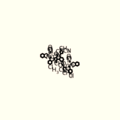 Cc1c(-n2c(=O)c3cc(-c4cc(Cl)ccc4C(=O)N4Cc5ccccc5C[C@H]4CN4CCOCC4)n(C)c3c3cc(OC(=O)c4cc(-c5cc(Cl)ccc5C(=O)N5Cc6ccccc6C[C@H]5CN5CCOCC5)n(C)c4C)ccc32)cc(C#N)n1C